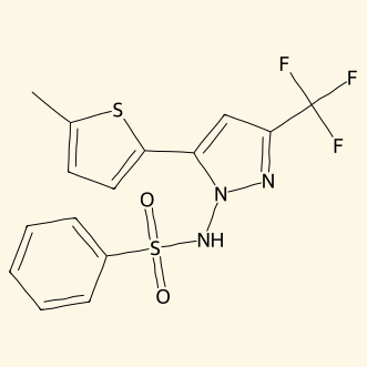 Cc1ccc(-c2cc(C(F)(F)F)nn2NS(=O)(=O)c2ccccc2)s1